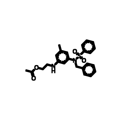 CC(=O)OCCNc1cc(C)cc(N(Cc2ccccc2)S(=O)(=O)c2ccccc2)c1